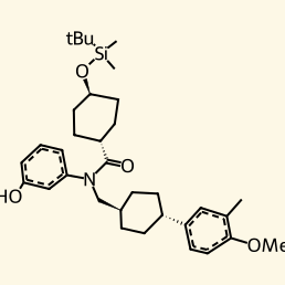 COc1ccc([C@H]2CC[C@H](CN(c3cccc(O)c3)C(=O)[C@H]3CC[C@H](O[Si](C)(C)C(C)(C)C)CC3)CC2)cc1C